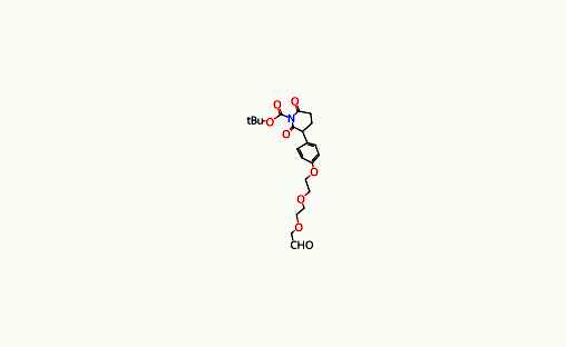 CC(C)(C)OC(=O)N1C(=O)CCC(c2ccc(OCCOCCOCC=O)cc2)C1=O